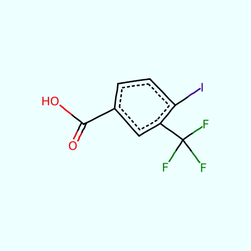 O=C(O)c1ccc(I)c(C(F)(F)F)c1